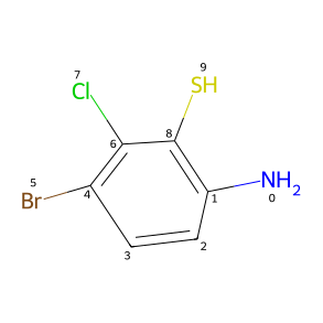 Nc1ccc(Br)c(Cl)c1S